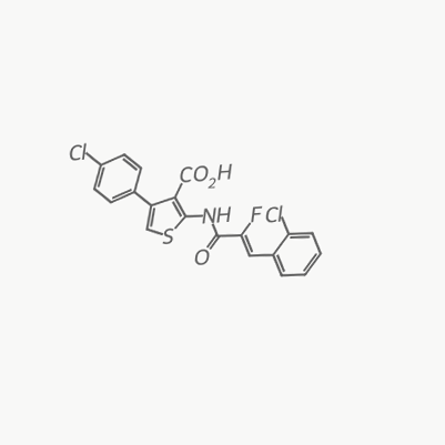 O=C(Nc1scc(-c2ccc(Cl)cc2)c1C(=O)O)C(F)=Cc1ccccc1Cl